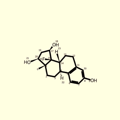 C[C@]12CC[C@@H]3c4ccc(O)cc4CC[C@H]3[C@@]1(F)[C@H](O)C[C@@H]2O